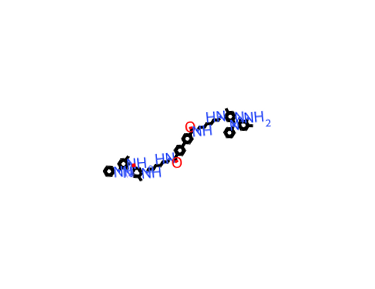 C=C1C=C(NCCCCCCNC(=O)c2ccc(-c3ccc(C(=O)NCCCCCCNc4cc5c(cc4C)nc4c(N)c(C)ccc4[n+]5-c4ccccc4)cc3)cc2)C(C)=C/C1=N/c1c(Nc2ccccc2)ccc(C)c1N